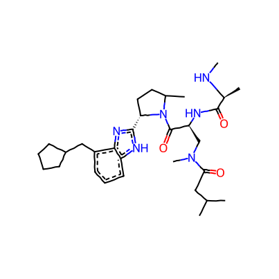 CN[C@@H](C)C(=O)N[C@@H](CN(C)C(=O)CC(C)C)C(=O)N1C(C)CC[C@H]1c1nc2c(CC3CCCC3)cccc2[nH]1